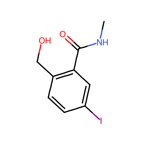 CNC(=O)c1cc(I)ccc1CO